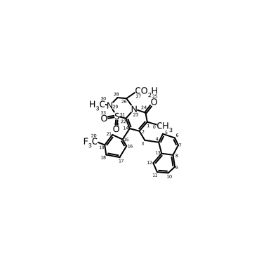 Cc1c(Cc2cccc3ccccc23)c(-c2cccc(C(F)(F)F)c2)c2n(c1=O)C(C(=O)O)CN(C)S2(=O)=O